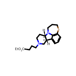 CCOC(=O)CCCN1CC[C@H]2[C@@H](C1)c1cccc3c1N2CCCS3